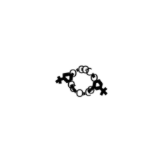 CC(C)(C)c1ccc2c(c1)OCCOCCOc1cc(C(C)(C)C)ccc1OCCOCCO2